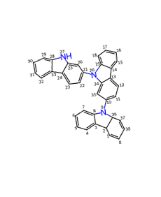 C1=CC2c3ccccc3N(c3ccc4c5ccccc5n(-c5ccc6c(c5)[nH]c5ccccc56)c4c3)C2C=C1